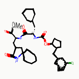 COC(=O)C(CC1CC2(CCCCC2)NC1=O)NC(=O)[C@H](CC1CCCCC1)NC(=O)OC1CCCC1Cc1cccc(Cl)c1